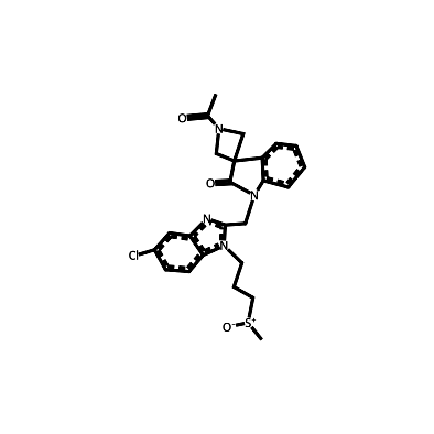 CC(=O)N1CC2(C1)C(=O)N(Cc1nc3cc(Cl)ccc3n1CCC[S+](C)[O-])c1ccccc12